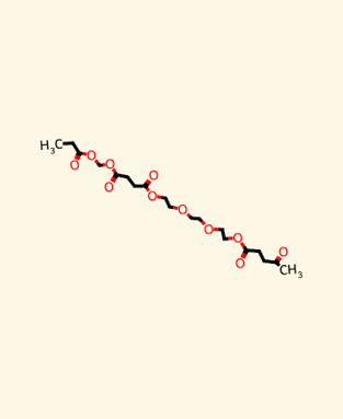 CCC(=O)OCOC(=O)CCC(=O)OCCOCCOCCOC(=O)CCC(C)=O